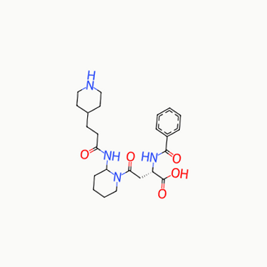 O=C(CCC1CCNCC1)NC1CCCCN1C(=O)C[C@H](NC(=O)c1ccccc1)C(=O)O